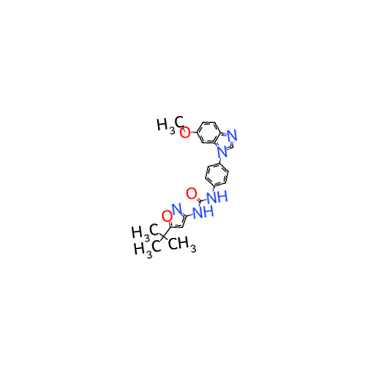 COc1ccc2ncn(-c3ccc(NC(=O)Nc4cc(C(C)(C)C)on4)cc3)c2c1